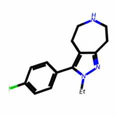 CCn1nc2c(c1-c1ccc(Cl)cc1)CCNCC2